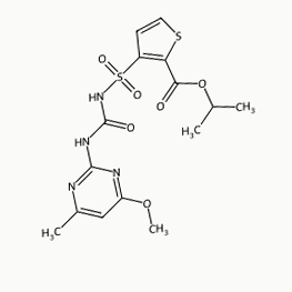 COc1cc(C)nc(NC(=O)NS(=O)(=O)c2ccsc2C(=O)OC(C)C)n1